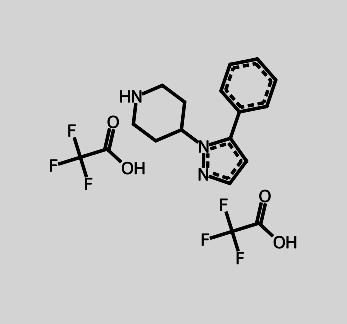 O=C(O)C(F)(F)F.O=C(O)C(F)(F)F.c1ccc(-c2ccnn2C2CCNCC2)cc1